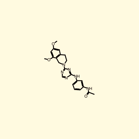 COc1cc2c(c(OC)c1)CN(c1ncnc(Nc3cccc(NC(C)=O)c3)n1)CC2